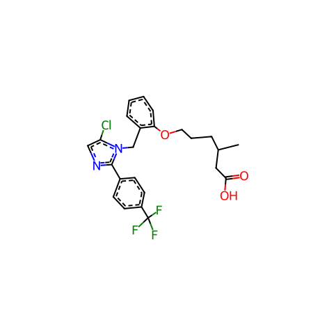 CC(CCCOc1ccccc1Cn1c(Cl)cnc1-c1ccc(C(F)(F)F)cc1)CC(=O)O